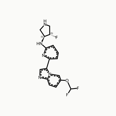 FC(F)Oc1ccc2ncc(-c3cccc(N[C@H]4CNC[C@@H]4F)n3)n2c1